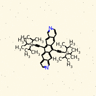 CC(C)[Si](C#Cc1c2cc3ccncc3cc2c(C#C[Si](C(C)C)(C(C)C)C(C)C)c2cc3ccncc3cc12)(C(C)C)C(C)C